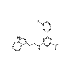 CN(C)c1cc(NCCc2c[nH]c3ccccc23)nc(-c2cncc(F)c2)n1